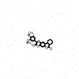 COc1ccc(-c2nc3cc4c5c(c(=O)oc4cc3oc2=O)CCCC5)cc1OC